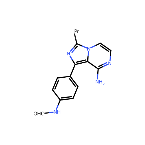 CC(C)c1nc(-c2ccc(NC=O)cc2)c2c(N)nccn12